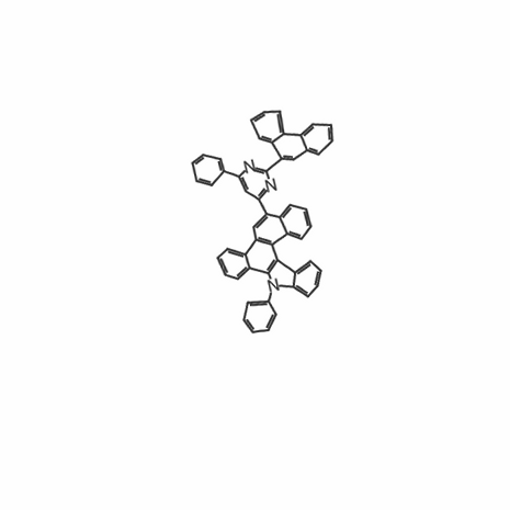 c1ccc(-c2cc(-c3cc4c5ccccc5c5c(c6ccccc6n5-c5ccccc5)c4c4ccccc34)nc(-c3cc4ccccc4c4ccccc34)n2)cc1